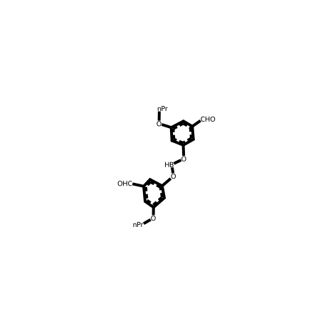 CCCOc1cc(C=O)cc(OBOc2cc(C=O)cc(OCCC)c2)c1